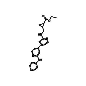 CCOC(=O)C1CC1CNc1cc(-c2ccnc(Nc3ccccc3)c2)ccn1